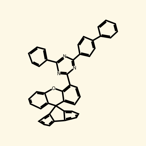 c1ccc(-c2ccc(-c3nc(-c4ccccc4)nc(-c4cccc5c4Oc4ccccc4C54c5ccccc5-c5ccccc54)n3)cc2)cc1